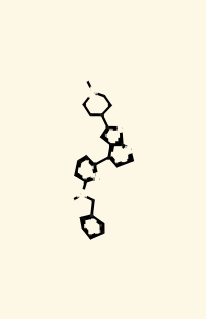 CN1CCC(c2cc3c(-c4cccc(N(C)Cc5ccccc5)n4)ccnc3[nH]2)CC1